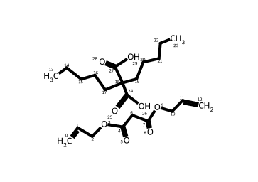 C=CCOC(=O)CC(=O)OCC=C.CCCCCC(CCCCC)(C(=O)O)C(=O)O